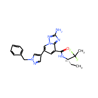 CC[C@H](NC(=O)c1cc(-c2cnn(Cc3ccccc3)c2)cn2nc(N)nc12)C(C)(F)F